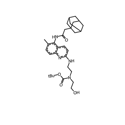 Cc1ccc2nc(NCCN(CCO)C(=O)OC(C)(C)C)ccc2c1NC(=O)CC12CC3CC(CC(C3)C1)C2